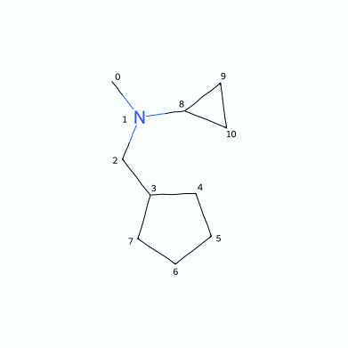 CN(CC1CCCC1)C1CC1